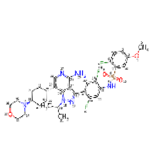 COc1ccc(F)c(S(=O)(=O)Nc2cc(F)c(-c3nn(C(C)C)c4c3c(N)ncc4[C@H]3CC[C@H](N4CCOCC4)CC3)cc2F)c1